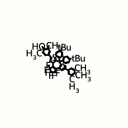 Cc1cc(-c2cc3c(s2)C(c2ccc(C(C)(C)C)cc2)(c2ccc(C(C)(C)C)cc2)C2SC(c4cc(C)c(O)c(C)c4)=CC2C2=C3C(F)(F)C(F)(F)C2(F)F)cc(C)c1C